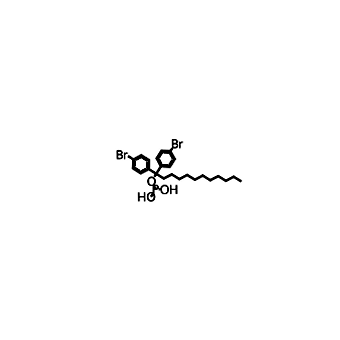 CCCCCCCCCCCC(OP(O)O)(c1ccc(Br)cc1)c1ccc(Br)cc1